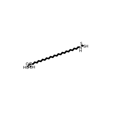 O=P(O)(O)OCCCCCCCCCCCCCCCCCCCCCCCCNC(=S)S